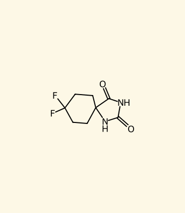 O=C1NC(=O)C2(CCC(F)(F)CC2)N1